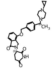 C[C@H](c1ccc(COc2cccc3c2CN([C@H]2CCC(=O)NC2=O)C3=O)cc1)N1CCN(C2CC2)CC1